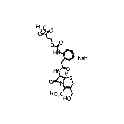 CS(=O)(=O)CCOC(=O)Nc1ccccc1CC(=O)N[C@@H]1C(=O)N2C(C(=O)O)=C(CO)CS[C@H]12.[NaH]